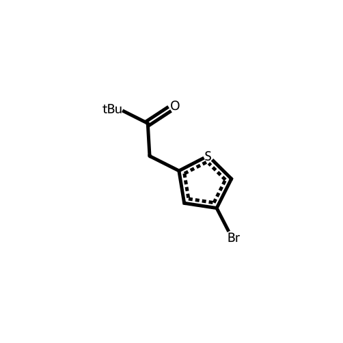 CC(C)(C)C(=O)Cc1cc(Br)cs1